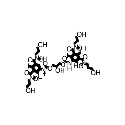 O=C(Nc1c(I)c(C(=O)N(O)CCCO)c(I)c(C(=O)N(O)CCCO)c1I)OCC(O)COC(=O)N(I)c1cc(C(=O)N(O)CCCO)c(I)c(C(=O)N(O)CCCO)c1I